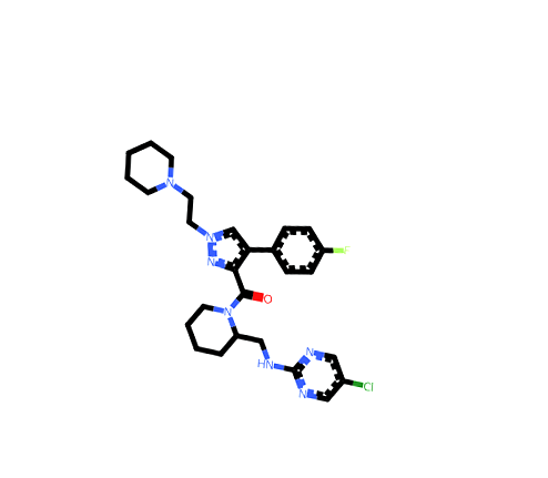 O=C(c1nn(CCN2CCCCC2)cc1-c1ccc(F)cc1)N1CCCCC1CNc1ncc(Cl)cn1